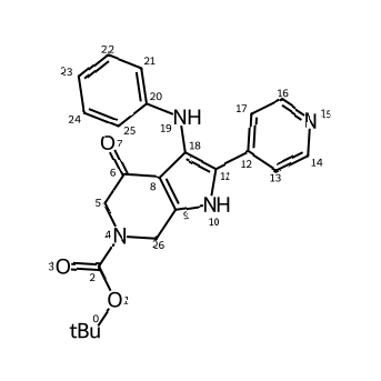 CC(C)(C)OC(=O)N1CC(=O)c2c([nH]c(-c3ccncc3)c2Nc2ccccc2)C1